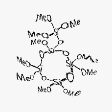 CO[Si](OC)(OC)O[Si]1(OC)O[Si](OC)(OC)O[Si](OC)(OC)O[Si](OC)(OC)O1